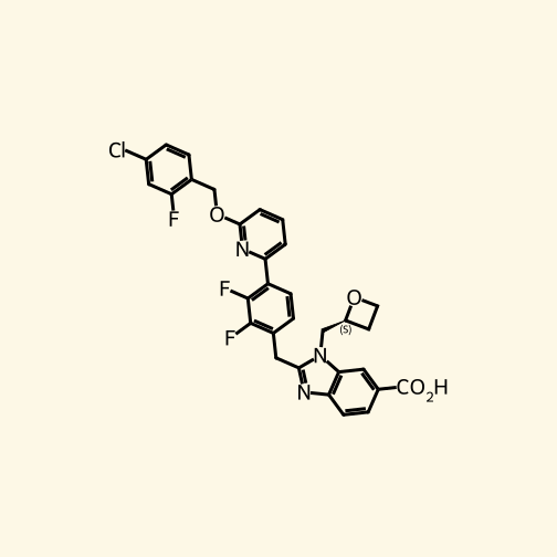 O=C(O)c1ccc2nc(Cc3ccc(-c4cccc(OCc5ccc(Cl)cc5F)n4)c(F)c3F)n(C[C@@H]3CCO3)c2c1